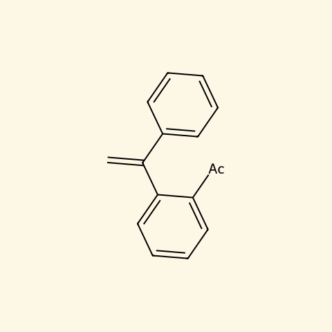 C=C(c1ccccc1)c1ccccc1C(C)=O